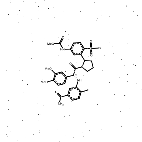 COC(=O)Nc1ccc(S(=O)(=O)C(C)C)c(C2CCCN2C(=O)[C@H](Nc2cc(C(N)=O)ccc2F)c2ccc(OC)c(OC)c2)c1